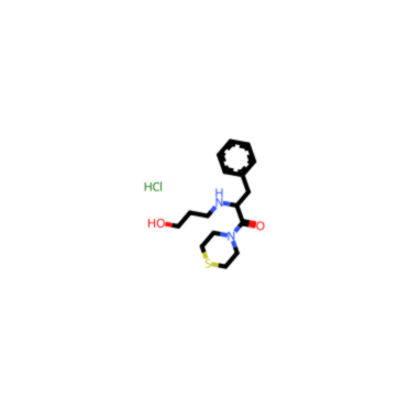 Cl.O=C(C(Cc1ccccc1)NCCCO)N1CCSCC1